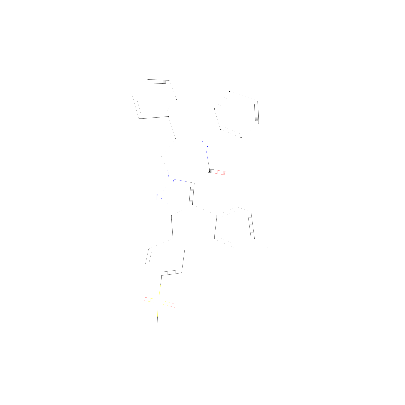 Cc1ccc(-c2c(-c3ccc(S(C)(=O)=O)cc3)nn(CCc3ccccc3)c2C(=O)Nc2ccccc2)cc1